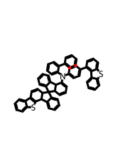 C1=CC2C(C(N(c3ccc(-c4cccc5sc6ccccc6c45)cc3)c3ccccc3-c3ccccc3)=C1)c1ccccc1C21c2ccccc2C2c3sc4ccccc4c3C=CC21